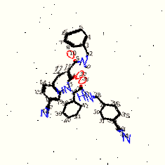 CN(Cc1ccccc1)C(=O)[C@H](Cc1ccc(C#N)cc1)C(=O)N[C@H](C(=O)NCC1CCC(C#N)CC1)C1CCCCC1